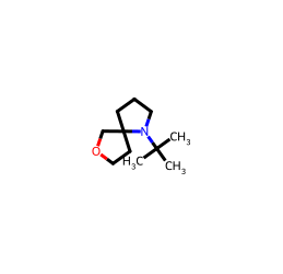 CC(C)(C)N1CCCC12CCOC2